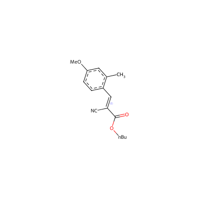 CCCCOC(=O)/C(C#N)=C/c1ccc(OC)cc1C